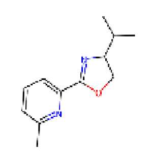 Cc1cccc(C2=NC(C(C)C)CO2)n1